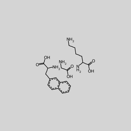 NC(Cc1ccc2ccccc2c1)C(=O)O.NCC(=O)O.NCCCCC(N)C(=O)O